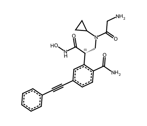 NCC(=O)N(C[C@@H](C(=O)NO)c1cc(C#Cc2ccccc2)ccc1C(N)=O)C1CC1